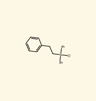 CC(C)[Si](Cl)(CCc1ccccc1)C(C)C